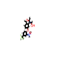 CCC(=O)/C(=C(\C)O)c1cc(Oc2ccc(C(F)(F)F)cc2[N+](C)=O)ccc1CC